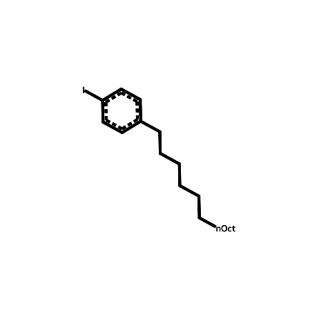 CCCCCCCCCCCCCCc1ccc(I)cc1